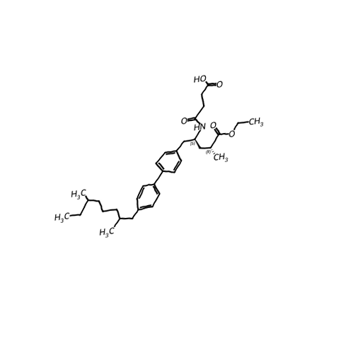 CCOC(=O)[C@H](C)C[C@@H](Cc1ccc(-c2ccc(CC(C)CCCC(C)CC)cc2)cc1)NC(=O)CCC(=O)O